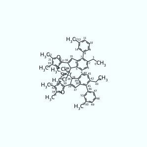 CCc1ccc2c(c1-c1cccc(C)c1)C=C(c1cc(C)c(C)o1)[CH]2[Zr]([Cl])([Cl])([CH]1C(c2cc(C)c(C)o2)=Cc2c1ccc(CC)c2-c1cccc(C)c1)=[Si](C)C